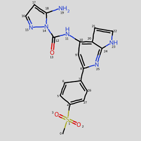 CS(=O)(=O)c1ccc(-c2cc(NC(=O)n3nccc3N)c3cc[nH]c3n2)cc1